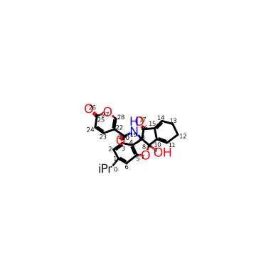 CC(C)c1ccc2c(c1)OC1(O)C3=CCCC=C3C(=O)C21NC(=O)c1ccc(=O)oc1